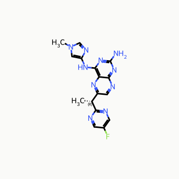 C[C@H](c1cnc2nc(N)nc(Nc3cn(C)cn3)c2n1)c1ncc(F)cn1